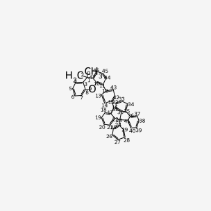 CC1(C)c2ccccc2Oc2c(-c3ccc(Cc4ccccc4C4(c5ccccc5)c5ccccc5-c5ccccc54)cc3)cccc21